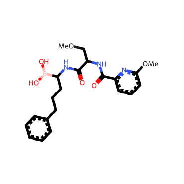 COCC(NC(=O)c1cccc(OC)n1)C(=O)NC(CCCc1ccccc1)B(O)O